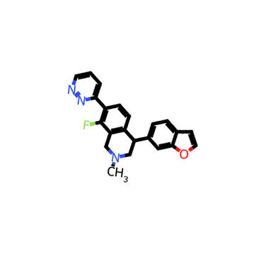 CN1Cc2c(ccc(-c3cccnn3)c2F)C(c2ccc3ccoc3c2)C1